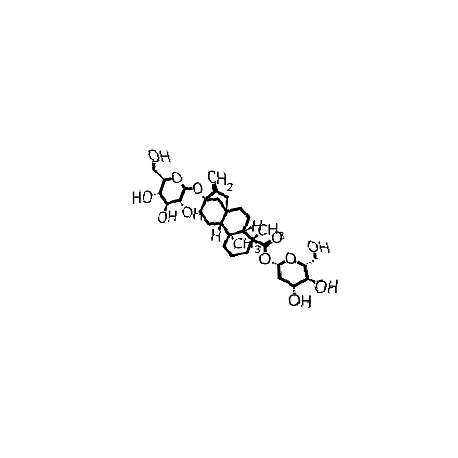 C=C1C[C@@]23CC[C@H]4[C@@](C)(CCC[C@@]4(C)C(=O)O[C@H]4C[C@@H](O)[C@H](O)[C@@H](CO)O4)[C@@H]2CC[C@]1(OC1O[C@H](CO)[C@@H](O)[C@H](O)[C@H]1O)C3